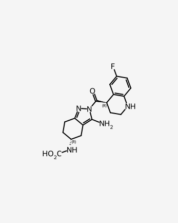 Nc1c2c(nn1C(=O)[C@@H]1CCNc3ccc(F)cc31)CC[C@@H](NC(=O)O)C2